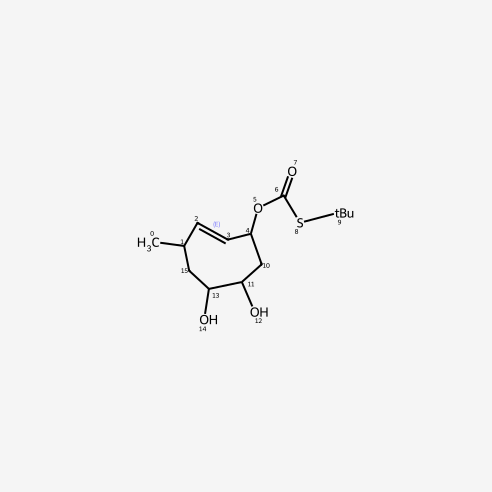 CC1/C=C/C(OC(=O)SC(C)(C)C)CC(O)C(O)C1